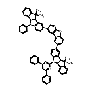 CC1(C)c2ccccc2C2C1c1cc(-c3ccc4oc5ccc(-c6ccc7c(c6)C6C(c8ccccc8C6(C)C)N7c6nc(-c7ccccc7)cc(-c7ccccc7)n6)cc5c4c3)ccc1N2c1ccccc1